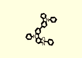 c1ccc(-c2nc3ccc4c(c5cc(-c6ccc7c(c6)c6ccccc6n7-c6ccccc6)ccc5n4-c4ccccc4)c3o2)cc1